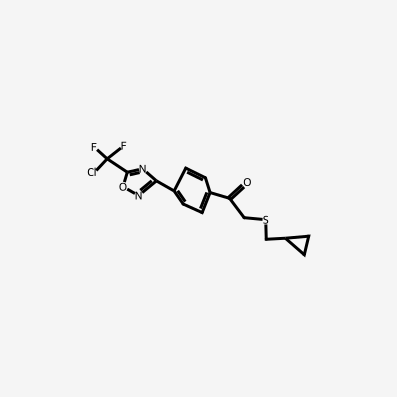 O=C(CSCC1CC1)c1ccc(-c2noc(C(F)(F)Cl)n2)cc1